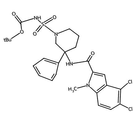 Cn1c(C(=O)NC2(c3ccccc3)CCCN(S(=O)(=O)NC(=O)OC(C)(C)C)C2)cc2c(Cl)c(Cl)ccc21